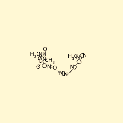 CNC(=O)C(CCC=O)N(C)C(=O)c1cc(N2CC(OCCCN3CCN(CC#Cc4ccc(-c5ccc6c7cnccc7n(C)c6c5)cn4)CC3)C2)ccc1C=O